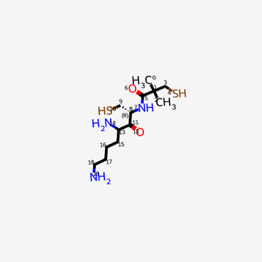 CC(C)(CS)C(=O)N[C@@H](CS)C(=O)C(N)CCCCN